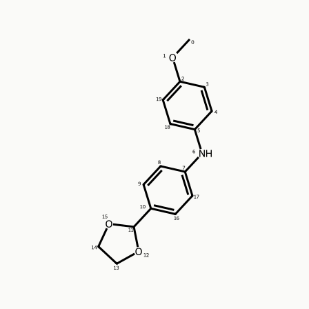 COc1ccc(Nc2ccc(C3OCCO3)cc2)cc1